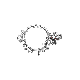 C[C@@H]1[C@H](O)[C@@H](C)/C=C/C=C/C=C/C=C/C=C/C=C/C=C/[C@H](O[C@@H]2O[C@H](C)[C@@H](O)[C@H](N)[C@@H]2O)C[C@@H]2O[C@](O)(C[C@@H](O)C[C@@H](O)[C@H](O)CC[C@@H](O)C[C@@H](O)CC(=O)O[C@H]1C)C[C@H](O)[C@H]2C(=O)NCCC1CCC1